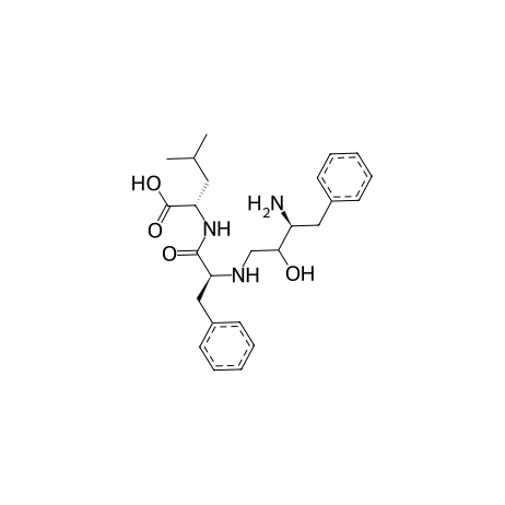 CC(C)C[C@H](NC(=O)[C@H](Cc1ccccc1)NCC(O)[C@@H](N)Cc1ccccc1)C(=O)O